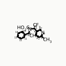 Cc1ccc([C@H](N(C(=O)O)[C@H](C)c2ccccc2)C(F)(F)F)cn1